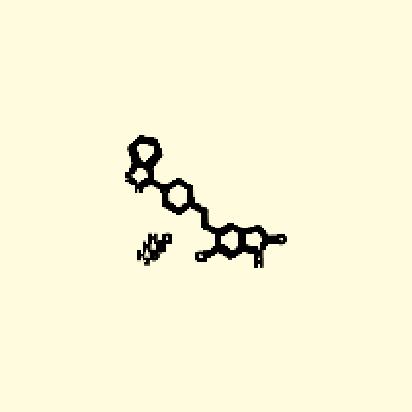 O.O.O.O=C1Cc2cc(CCN3CCN(c4nsc5ccccc45)CC3)c(Cl)cc2N1